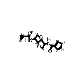 O=C(NC1COC2C(NC(=O)C3CC3)COC12)C1=CCC=C1